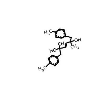 Cc1ccc(CC(C)(O)/C=C/C(C)(O)Cc2ccc(C)cc2)cc1